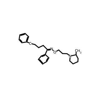 CC1CCCCN1CCCON=C(CCCCc1ccccc1)c1ccccc1